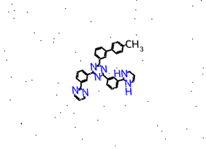 Cc1ccc(-c2cccc(-c3nc(-c4cccc(-c5ncccn5)c4)nc(-c4cccc(C5NC=CCN5)c4)n3)c2)cc1